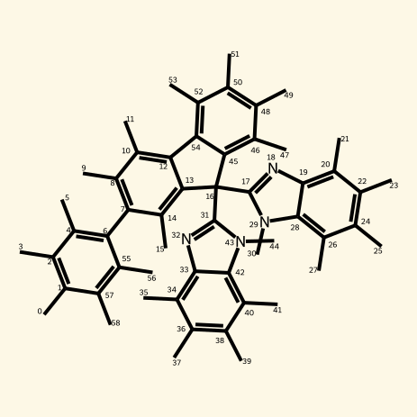 Cc1c(C)c(C)c(-c2c(C)c(C)c3c(c2C)C(c2nc4c(C)c(C)c(C)c(C)c4n2C)(c2nc4c(C)c(C)c(C)c(C)c4n2C)c2c(C)c(C)c(C)c(C)c2-3)c(C)c1C